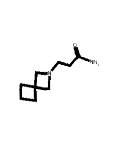 NC(=O)CCN1CC2(CCC2)C1